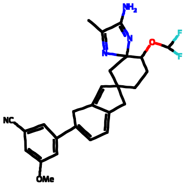 COc1cc(C#N)cc(C2=CC=C3CC4(C=C3C2)CCC(OC(F)F)C2(C4)N=C(C)C(N)=N2)c1